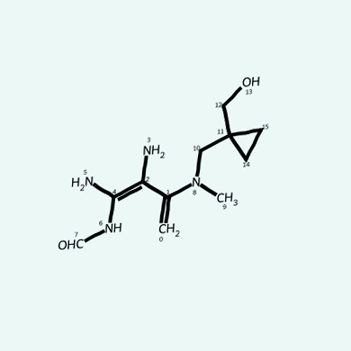 C=C(/C(N)=C(/N)NC=O)N(C)CC1(CO)CC1